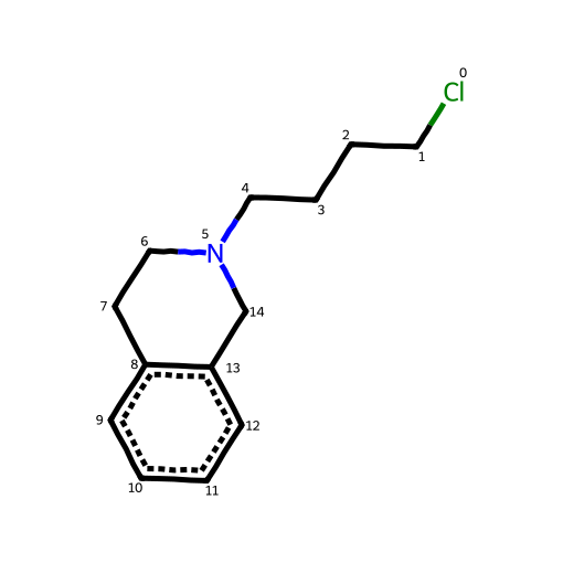 ClCCCCN1CCc2ccccc2C1